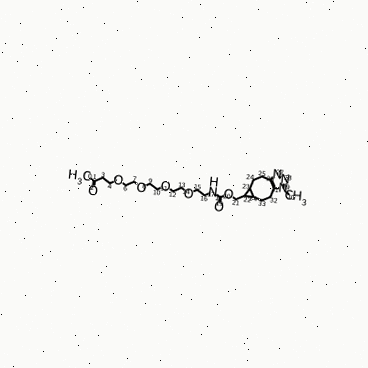 CC(=O)CCOCCOCCOCCOCCNC(=O)OCC1C2CCc3nnn(C)c3CCC21